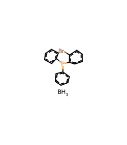 B.Brc1ccccc1P(c1ccccc1)c1ccccc1